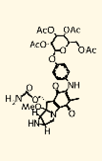 CO[C@@]12[C@H](COC(N)=O)C3=C(C(=O)C(C)=C(Nc4ccc(O[C@@H]5O[C@H](COC(C)=O)[C@@H](OC(C)=O)[C@H](OC(C)=O)[C@H]5OC(C)=O)cc4)C3=O)N1C[C@@H]1N[C@@H]12